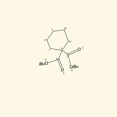 CC(C)COC(=O)C1(C(=O)OCC(C)C)CCCCC1